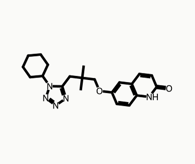 CC(C)(COc1ccc2[nH]c(=O)ccc2c1)Cc1nnnn1C1CCCCC1